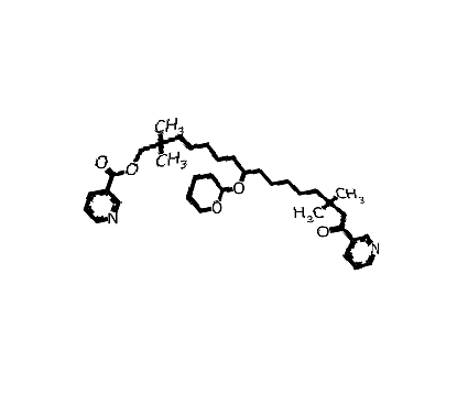 CC(C)(CCCCCC(CCCCCC(C)(C)CC(=O)c1cccnc1)OC1CCCCO1)COC(=O)c1cccnc1